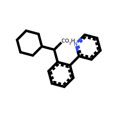 O=C(O)C(c1ccccc1-c1ccccn1)C1CCCCC1